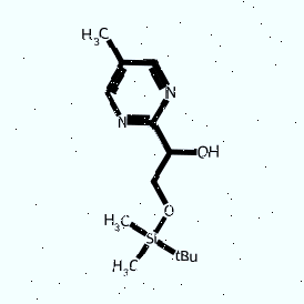 Cc1cnc(C(O)CO[Si](C)(C)C(C)(C)C)nc1